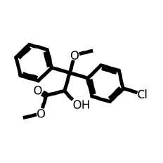 COC(=O)C(O)C(OC)(c1ccccc1)c1ccc(Cl)cc1